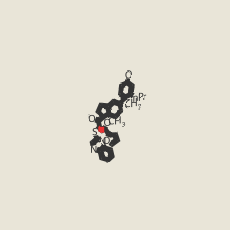 CCCC1=CC(=O)CCC1(C)C1CCC2(C)C(CC[C@]2(OC(=O)c2ccco2)C(=O)CSc2cnc3ccccc3n2)C1